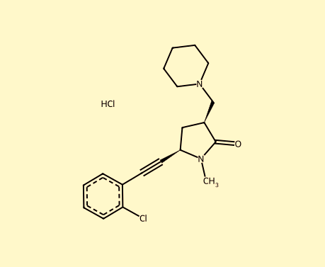 CN1C(=O)[C@H](CN2CCCCC2)C[C@@H]1C#Cc1ccccc1Cl.Cl